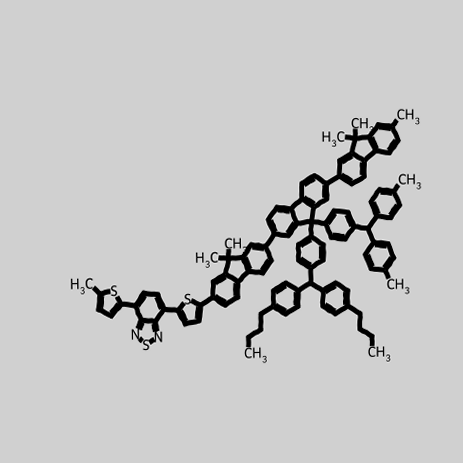 CCCCc1ccc(C(c2ccc(CCCC)cc2)c2ccc(C3(c4ccc(C(c5ccc(C)cc5)c5ccc(C)cc5)cc4)c4cc(-c5ccc6c(c5)C(C)(C)c5cc(C)ccc5-6)ccc4-c4ccc(-c5ccc6c(c5)C(C)(C)c5cc(-c7ccc(-c8ccc(-c9ccc(C)s9)c9nsnc89)s7)ccc5-6)cc43)cc2)cc1